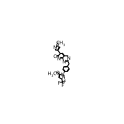 COc1cc(C(F)(F)F)nn1-c1ccc(Cc2ncc3c(n2)=NC(=O)C(c2cnn(C)c2)C=3)cc1